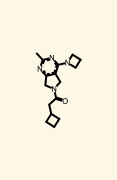 Cc1nc2c(c(N3CCC3)n1)CN(C(=O)CC1CCC1)C2